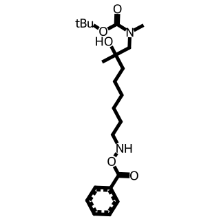 CN(CC(C)(O)CCCCCCNOC(=O)c1ccccc1)C(=O)OC(C)(C)C